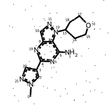 Cn1cc(-c2nc(N)c3c(cnn3C3CCOCC3)n2)cn1